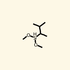 CO[SiH](OC)C(C)C(C)C